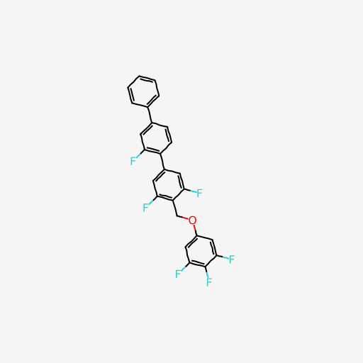 Fc1cc(-c2ccccc2)ccc1-c1cc(F)c(COc2cc(F)c(F)c(F)c2)c(F)c1